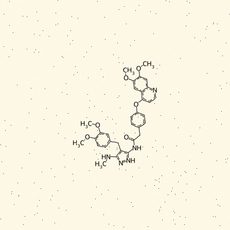 CNc1n[nH]c(NC(=O)Cc2ccc(Oc3ccnc4cc(OC)c(OC)cc34)cc2)c1Cc1ccc(OC)c(OC)c1